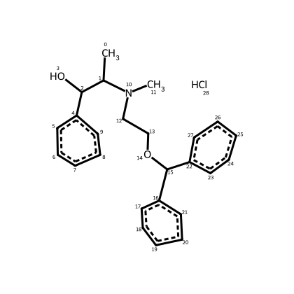 CC(C(O)c1ccccc1)N(C)CCOC(c1ccccc1)c1ccccc1.Cl